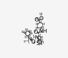 CCN(C(=O)Cn1c(C(=O)N[C@H]2CC[C@H](C(=O)OC)CC2)cc2ccsc21)c1cccc(C)c1